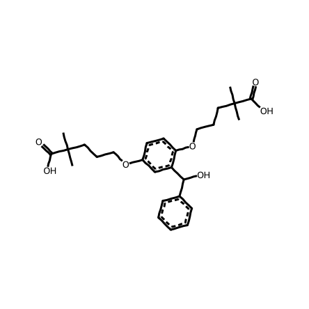 CC(C)(CCCOc1ccc(OCCCC(C)(C)C(=O)O)c(C(O)c2ccccc2)c1)C(=O)O